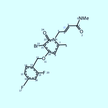 CNC(=O)/C=C/Cn1c(C)cc(OCc2ccc(F)cc2F)c(Br)c1=O